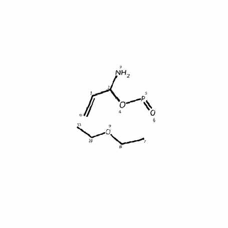 C=CC(N)OP=O.CCOCC